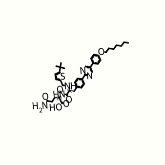 CCCCCCCOc1ccc(-c2cnc(-c3ccc(C[C@H](NC(=O)c4ccc(C(C)(C)C)s4)C(=O)N[C@H](CCC(N)=O)C(=O)O)cc3)nc2)cc1